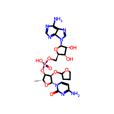 [CH2][C@H]1O[C@@H](n2ccc(N)nc2=O)[C@H](OC2CCCO2)[C@@H]1OP(=O)(O)OC[C@H]1O[C@@H](n2cnc3c(N)ncnc32)[C@H](O)[C@@H]1O